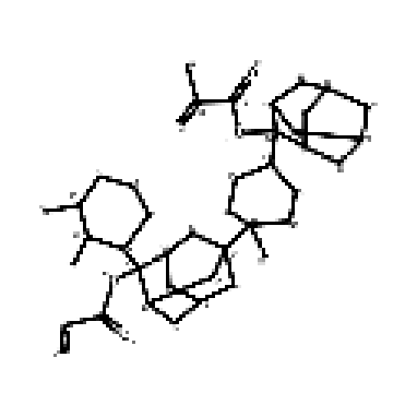 C=CC(=O)OC1(C2CCCC(C)C2C)C2CC3CC1CC(C1(C)CCC(C4(OC(=O)C(=C)C)C5CC6CC(C5)CC4C6)CC1)(C3)C2